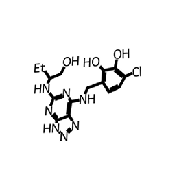 CCC(CO)Nc1nc(NCc2ccc(Cl)c(O)c2O)c2nn[nH]c2n1